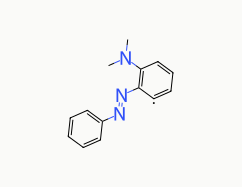 CN(C)c1ccc[c]c1N=Nc1ccccc1